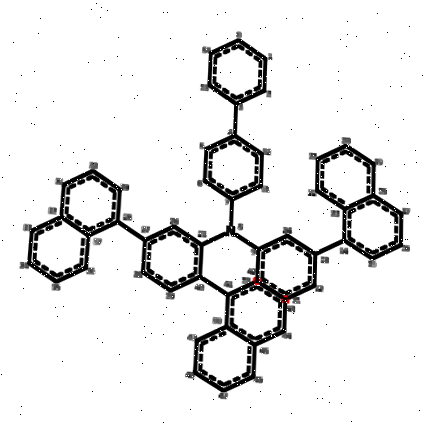 c1ccc(-c2ccc(N(c3cccc(-c4cccc5ccccc45)c3)c3cc(-c4cccc5ccccc45)ccc3-c3cccc4ccccc34)cc2)cc1